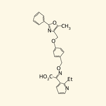 CCc1ncccc1C(=NOCc1ccc(OCc2nc(-c3ccccc3)oc2C)cc1)C(=O)O